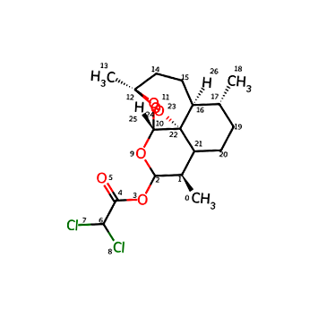 C[C@H]1C(OC(=O)C(Cl)Cl)O[C@@H]2O[C@]3(C)CC[C@H]4[C@H](C)CCC1[C@@]24OO3